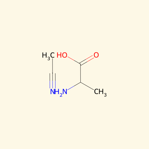 CC#N.CC(N)C(=O)O